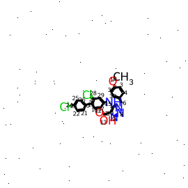 COc1ccc(Cn2nnc(C(=O)O)c2Nc2ccc(-c3ccc(Cl)cc3)c(Cl)c2)cc1